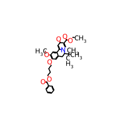 CCOC(=O)c1cn2c(cc1=O)-c1cc(OC)c(OCCCCOC(=O)c3ccccc3)cc1CC2C(C)(C)C